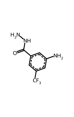 NNC(=O)c1cc(N)cc(C(F)(F)F)c1